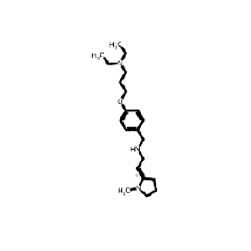 CCN(CC)CCCOc1ccc(CNC/C=C2\CCCN2C)cc1